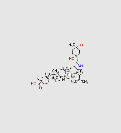 C=C(C)C1CC[C@]2(NCC[C@]3(O)CC[C@](C)(O)CC3)CC[C@]3(C)[C@H](CC[C@@H]4[C@@]5(C)CC=C(C6=CC[C@@](CF)(C(=O)O)CC6)C(C)(C)[C@@H]5CC[C@]43C)[C@@H]12